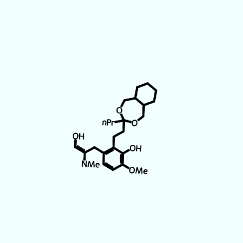 CCCC1(CCc2c(C/C(=C\O)NC)ccc(OC)c2O)OCC2CCCCC2CO1